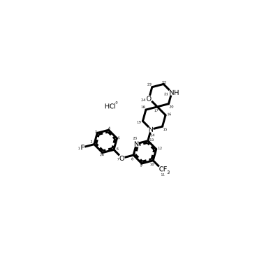 Cl.Fc1cccc(Oc2cc(C(F)(F)F)cc(N3CCC4(CC3)CNCCO4)n2)c1